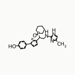 Cc1c[nH]c(NCC(c2ccc(-c3ccc(O)cc3)s2)P2(=O)CCCCC2)n1